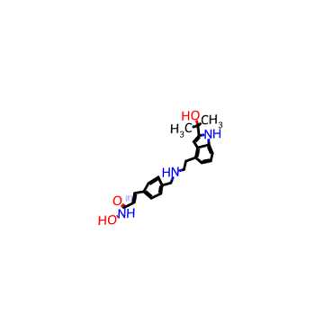 CC(C)(O)c1cc2c(CCNCc3ccc(/C=C/C(=O)NO)cc3)cccc2[nH]1